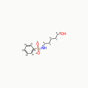 O=S(=O)(NCCCCCO)c1cc[c]cc1